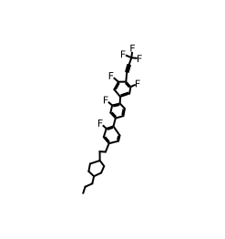 CCCC1CCC(CCc2ccc(-c3ccc(-c4cc(F)c(C#CC(F)(F)F)c(F)c4)c(F)c3)c(F)c2)CC1